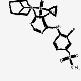 Cc1c(Nc2ccc(S(C)(=O)=O)cc2F)ncnc1OC1C2CCC1CN(S(=O)(=O)C1CC1)C2